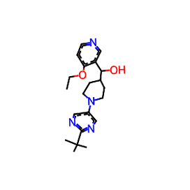 CCOc1ccncc1C(O)C1CCN(c2cnc(C(C)(C)C)nc2)CC1